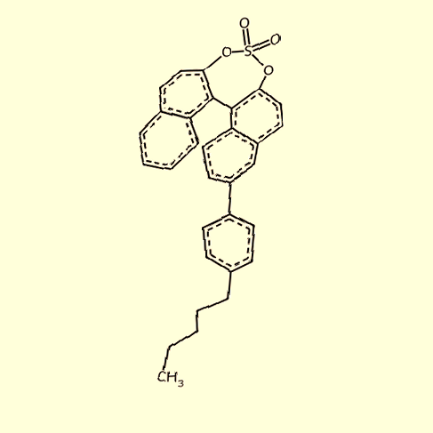 CCCCCc1ccc(-c2ccc3c4c(ccc3c2)OS(=O)(=O)Oc2ccc3ccccc3c2-4)cc1